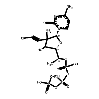 C[C@H](OP(=O)(O)OP(=O)(O)OP(=O)(O)O)[C@H]1O[C@@H](n2ccc(N)nc2=O)C(N)(C#CCl)C1O